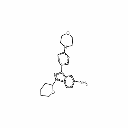 Nc1ccc2c(c1)c(-c1ccc(N3CCOCC3)cc1)nn2C1CCCCO1